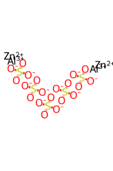 O=S(=O)([O-])[O-].O=S(=O)([O-])[O-].O=S(=O)([O-])[O-].O=S(=O)([O-])[O-].O=S(=O)([O-])[O-].[Al+3].[Al+3].[Zn+2].[Zn+2]